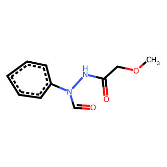 COCC(=O)NN([C]=O)c1ccccc1